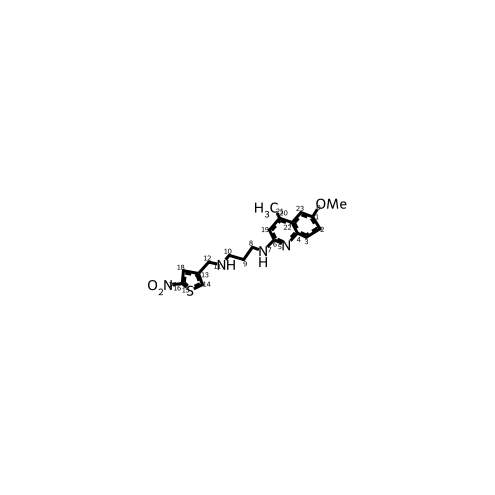 COc1ccc2nc(NCCCNCc3csc([N+](=O)[O-])c3)cc(C)c2c1